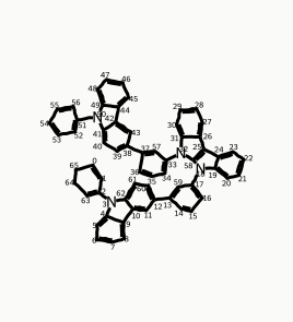 C1=CC(n2c3ccccc3c3cc(-c4cccc(-n5c6ccccc6c6c7ccccc7n(-c7cccc(-c8ccc9c(c8)c8ccccc8n9-c8ccccc8)c7)c65)c4)ccc32)=CCC1